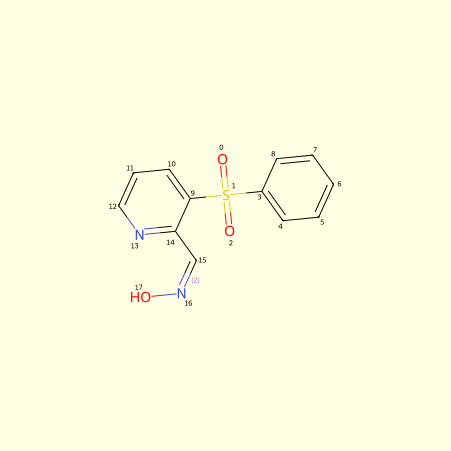 O=S(=O)(c1ccccc1)c1cccnc1/C=N\O